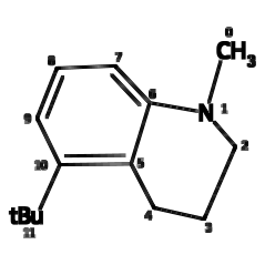 CN1CCCc2c1cccc2C(C)(C)C